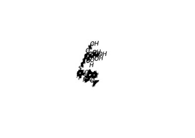 Cc1ccc(SCCCCN(CCOCCO)C(=O)C(O)C(O)C(O)C(O)CO)cc1COC1(c2cnccc2-c2ccccc2OC2CC2)CC1